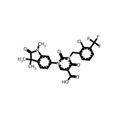 CN1C(=O)C(C)(C)c2ccc(-n3cc(C(=O)O)c(=O)n(Cc4cccc(C(F)(F)F)c4Cl)c3=O)cc21